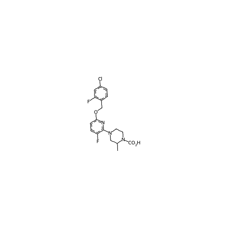 CC1CN(c2nc(OCc3ccc(Cl)cc3F)ccc2F)CCN1C(=O)O